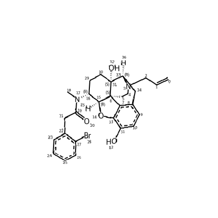 C=CCN1CC[C@]23c4c5ccc(O)c4O[C@H]2[C@H](N(C)C(=O)Cc2ccccc2Br)CC[C@@]3(O)[C@H]1C5